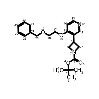 CC(C)(C)OC(=O)N1CC(c2cnccc2OCCOCc2ccccc2)C1